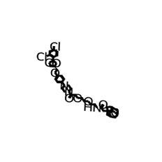 O=C(CC12CC3CC4CC(C1)C2(C4)C3)NCCOCCOCC(=O)N1CCN(c2ccc(OC[C@H]3COC(c4ccc(Cl)cc4Cl)O3)cc2)CC1